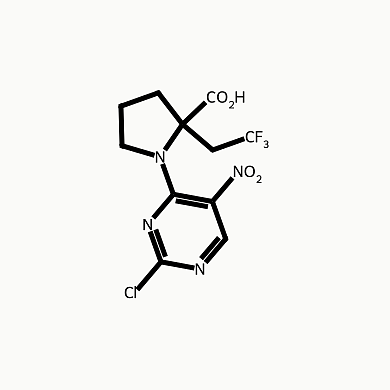 O=C(O)C1(CC(F)(F)F)CCCN1c1nc(Cl)ncc1[N+](=O)[O-]